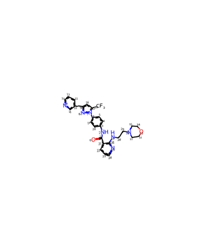 O=C(Nc1ccc(-n2nc(-c3cccnc3)cc2C(F)(F)F)cc1)c1cccnc1NCCN1CCOCC1